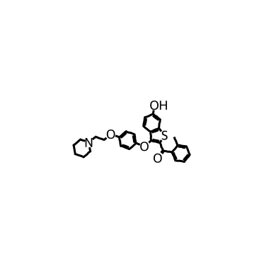 Cc1ccccc1C(=O)c1sc2cc(O)ccc2c1Oc1ccc(OCCN2CCCCC2)cc1